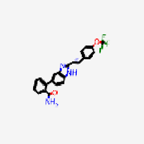 NC(=O)c1ccccc1-c1ccc2[nH]c(/C=C/c3ccc(OC(F)(F)F)cc3)nc2c1